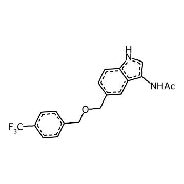 CC(=O)Nc1c[nH]c2ccc(COCc3ccc(C(F)(F)F)cc3)cc12